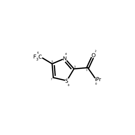 CC(C)C(=O)c1nc(C(F)(F)F)cs1